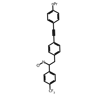 CCCc1ccc(C#Cc2ccc(CC([N][O])c3ccc(C(F)(F)F)cc3)cc2)cc1